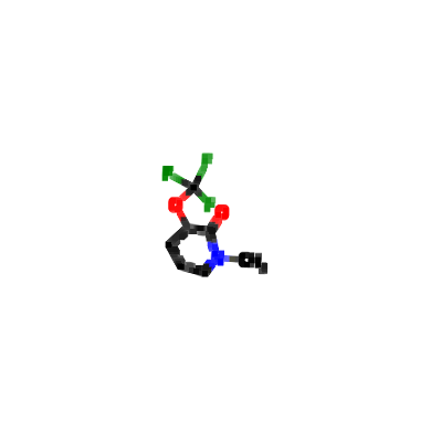 Cn1cccc(OC(F)(F)F)c1=O